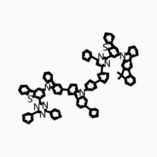 CC1(C)c2ccccc2-c2cc3c4ccccc4n(-c4cc(-c5nc(-c6ccccc6)cc(-c6cccc(-c7ccc(-n8c9ccc(-c%10ccc%11c(c%10)c%10ccccc%10n%11-c%10cc(-c%11nc(-c%12ccccc%12)nc(-c%12ccccc%12)n%11)c%11sc%12ccccc%12c%11c%10)cc9c9ccc(-c%10ccccc%10)cc98)cc7)c6)n5)c5sc6ccccc6c5c4)c3cc21